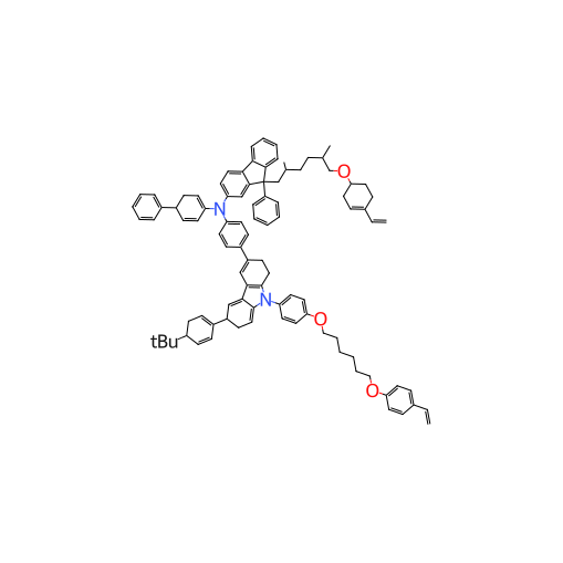 C=CC1=CCC(OCC(C)CCC(C)CC2(c3ccccc3)c3ccccc3-c3ccc(N(C4=CCC(c5ccccc5)C=C4)c4ccc(C5=Cc6c(n(-c7ccc(OCCCCCCOc8ccc(C=C)cc8)cc7)c7c6=CC(C6=CCC(C(C)(C)C)C=C6)CC=7)CC5)cc4)cc32)CC1